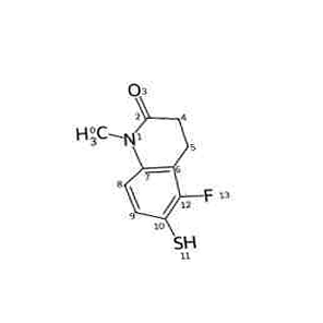 CN1C(=O)CCc2c1ccc(S)c2F